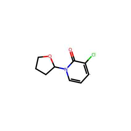 O=c1c(Cl)[c]ccn1C1CCCO1